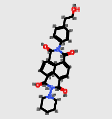 O=C1c2ccc3c4c(ccc(c24)C(=O)N1c1ccc(CCO)cc1)C(=O)N(N1CCCCC1)C3=O